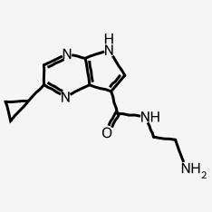 NCCNC(=O)c1c[nH]c2ncc(C3CC3)nc12